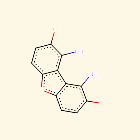 Nc1c(O)ccc2oc3ccc(O)c(N)c3c12